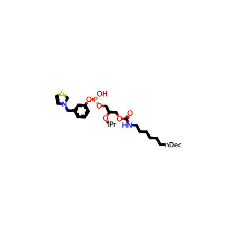 CCCCCCCCCCCCCCCCNC(=O)OCC(COP(O)Oc1cccc(CN2C=CSC2)c1)OC(C)C